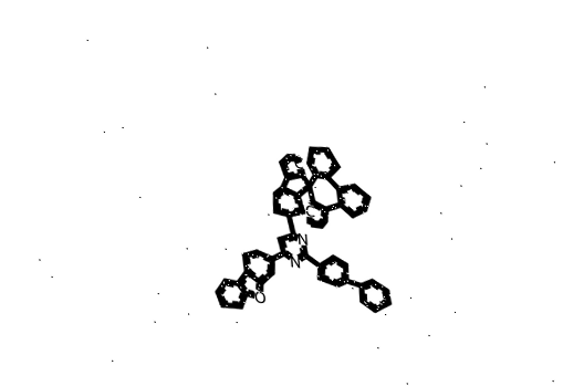 c1ccc(-c2ccc(-c3nc(-c4ccc5c(c4)C4(c6ccccc6-c6ccccc6-c6ccccc64)c4ccccc4-5)cc(-c4ccc5c(c4)oc4ccccc45)n3)cc2)cc1